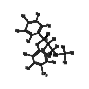 [2H]c1c([2H])c([2H])c([C@@]([2H])(Oc2c([2H])c([2H])c(C(F)(F)F)c([2H])c2[2H])C([2H])([2H])C([2H])([2H])NC([2H])([2H])[2H])c([2H])c1[2H]